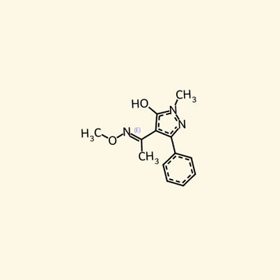 CO/N=C(\C)c1c(-c2ccccc2)nn(C)c1O